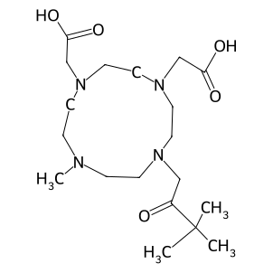 CN1CCN(CC(=O)O)CCN(CC(=O)O)CCN(CC(=O)C(C)(C)C)CC1